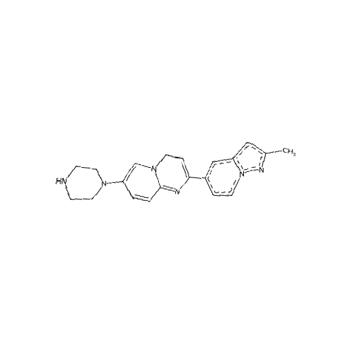 Cc1cc2cc(C3=CCN4C=C(N5CCNCC5)C=CC4=N3)ccn2n1